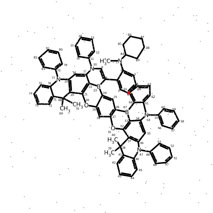 CN(c1ccccc1C1=CN(c2ccccc2)c2cc3c(c4c2B1c1cc2c(cc1O4)Oc1c4c(cc5c1C(C)(C)c1ccccc1N5c1ccccc1)N(c1ccccc1)c1ccccc1B24)C(C)(C)c1ccccc1N3c1ccccc1)C1CCCCC1